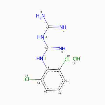 Cl.N=C(N)NC(=N)Nc1c(Cl)cccc1Cl